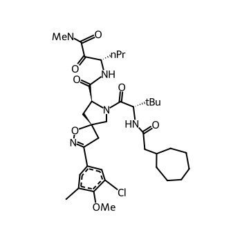 CCC[C@H](NC(=O)[C@@H]1C[C@]2(CC(c3cc(C)c(OC)c(Cl)c3)=NO2)CN1C(=O)[C@@H](NC(=O)CC1CCCCCC1)C(C)(C)C)C(=O)C(=O)NC